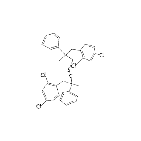 CC(CSCC(C)(Cc1ccc(Cl)cc1Cl)c1ccccc1)(Cc1ccc(Cl)cc1Cl)c1ccccc1